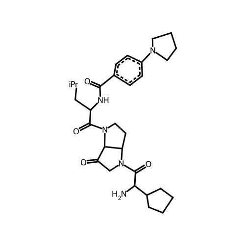 CC(C)CC(NC(=O)c1ccc(N2CCCC2)cc1)C(=O)N1CCC2C1C(=O)CN2C(=O)C(N)C1CCCC1